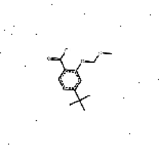 COCOc1cc(C(C)(C)C)ccc1C(=O)O